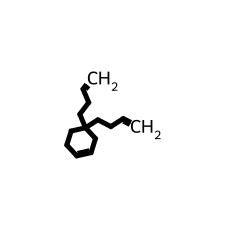 C=CCCC1(CCC=C)CC=CCC1